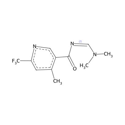 Cc1cc(C(F)(F)F)ncc1C(=O)/N=C\N(C)C